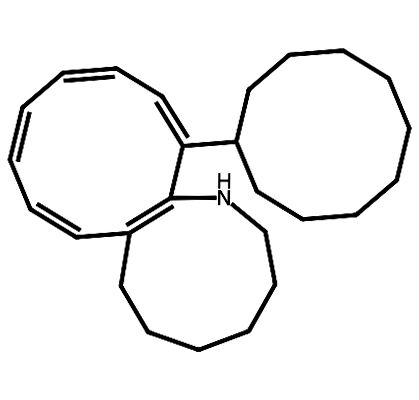 c1cccc2c(c(C3CCCCCCCCC3)ccc1)NCCCCCC2